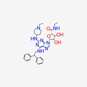 CCNC(=O)[C@H]1O[C@@H](n2cnc3c(NCC(c4ccccc4)c4ccccc4)nc(NC4CCN(CC)CC4)nc32)[C@H](O)[C@@H]1O